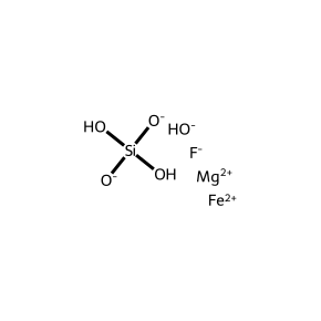 [F-].[Fe+2].[Mg+2].[O-][Si]([O-])(O)O.[OH-]